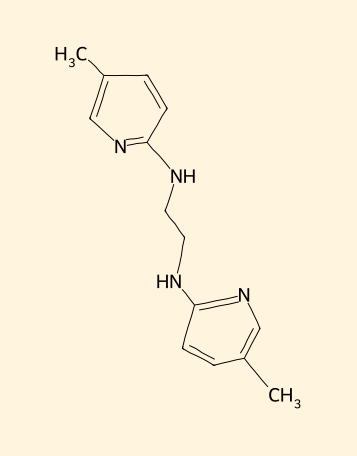 Cc1ccc(NCCNc2ccc(C)cn2)nc1